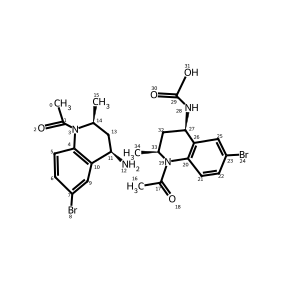 CC(=O)N1c2ccc(Br)cc2[C@H](N)C[C@@H]1C.CC(=O)N1c2ccc(Br)cc2[C@H](NC(=O)O)C[C@@H]1C